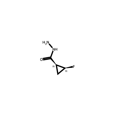 NNC(=O)[C@@H]1C[C@@H]1F